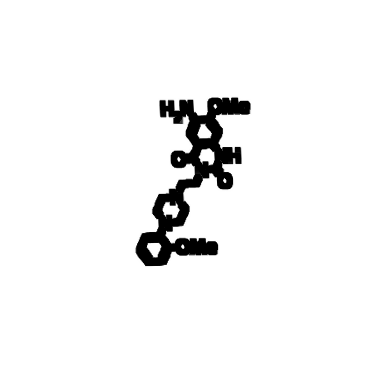 COc1cc2[nH]c(=O)n(CCN3CCN(c4ccccc4OC)CC3)c(=O)c2cc1N